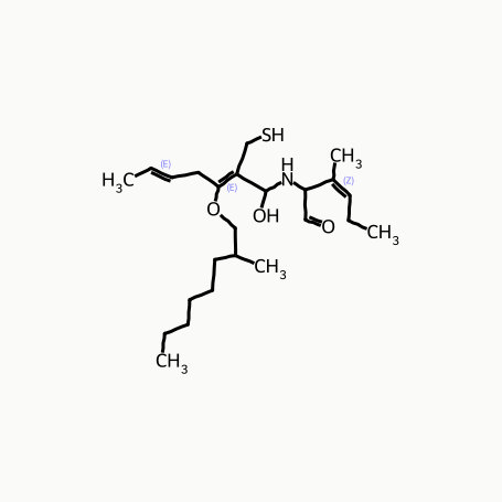 C/C=C/C/C(OCC(C)CCCCCC)=C(\CS)C(O)NC(C=O)/C(C)=C\CC